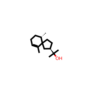 CC1=CCC[C@H](C)C12CC[C@@H](C(C)(C)O)C2